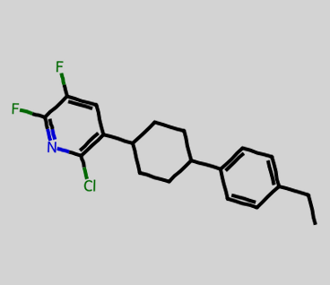 CCc1ccc(C2CCC(c3cc(F)c(F)nc3Cl)CC2)cc1